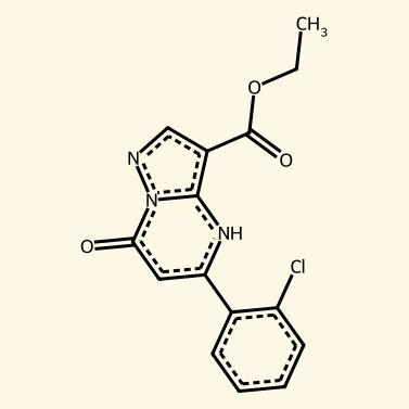 CCOC(=O)c1cnn2c(=O)cc(-c3ccccc3Cl)[nH]c12